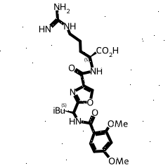 CC[C@H](C)C(NC(=O)c1ccc(OC)cc1OC)c1nc(C(=O)N[C@@H](CCCNC(=N)N)C(=O)O)co1